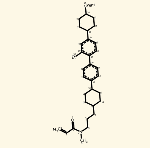 C=CC(=O)N(C)CCCC1CCC(c2ccc(-c3ccc(C4CCC(CCCCC)CC4)cc3CC)cc2)CC1